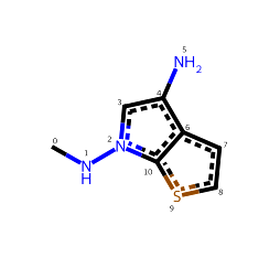 CNn1cc(N)c2ccsc21